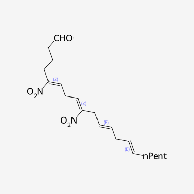 CCCCC/C=C/C/C=C/C/C(=C/C/C=C(/CCC[C]=O)[N+](=O)[O-])[N+](=O)[O-]